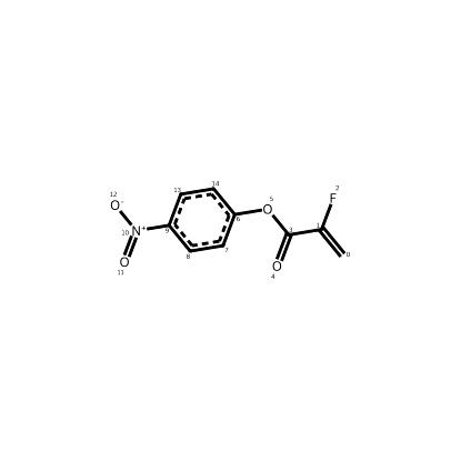 C=C(F)C(=O)Oc1ccc([N+](=O)[O-])cc1